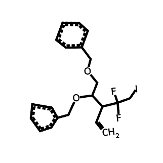 C=CC(C(COCc1ccccc1)OCc1ccccc1)C(F)(F)CI